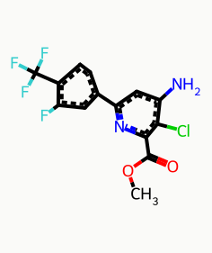 COC(=O)c1nc(-c2ccc(C(F)(F)F)c(F)c2)cc(N)c1Cl